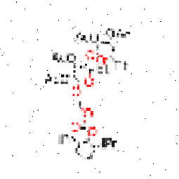 CC[C@H]1O[C@@H](OCCOC(=O)Oc2c(C(C)C)cccc2C(C)C)[C@H](OC(C)=O)[C@@H](OC(C)=O)C1O[C@H]1O[C@H](CC)[C@@H](C)[C@H](OC(C)=O)[C@H]1OC(C)=O